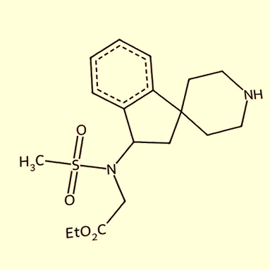 CCOC(=O)CN(C1CC2(CCNCC2)c2ccccc21)S(C)(=O)=O